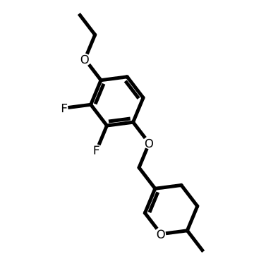 CCOc1ccc(OCC2=COC(C)CC2)c(F)c1F